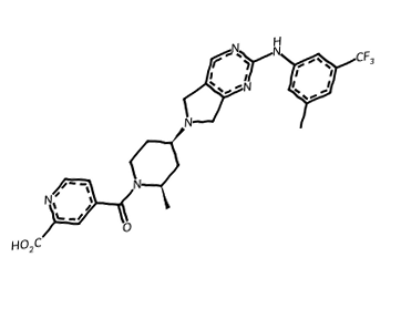 Cc1cc(Nc2ncc3c(n2)CN([C@@H]2CCN(C(=O)c4ccnc(C(=O)O)c4)[C@H](C)C2)C3)cc(C(F)(F)F)c1